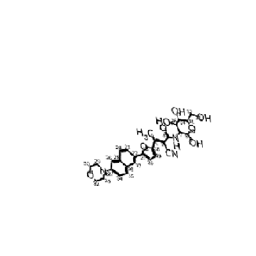 C/C(=C(/C#N)C(=O)N[C@H]1C(O)O[C@H](CO)[C@@H](O)[C@@H]1O)c1ccc(-c2ccc3cc(N4CCOCC4)ccc3c2)o1